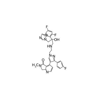 CN1Cc2nccc(-c3cn(CCNCC(O)(Cn4cncn4)c4ccc(F)cc4F)nc3-c3ccc(F)cc3)c2C1=O